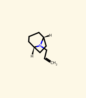 C=CCN1[C@@H]2CCC[C@H]1CC2